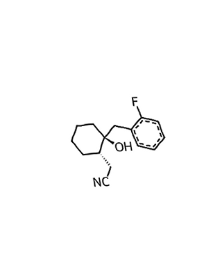 N#CC[C@@H]1CCCC[C@]1(O)Cc1ccccc1F